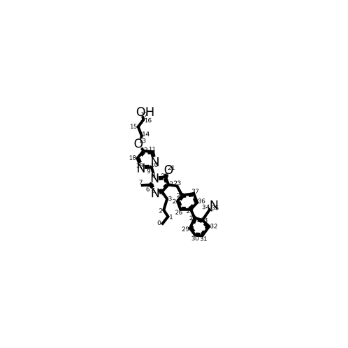 CCCCc1nc(C)n(-c2ncc(OCCCO)cn2)c(=O)c1Cc1ccc(-c2ccccc2C#N)cc1